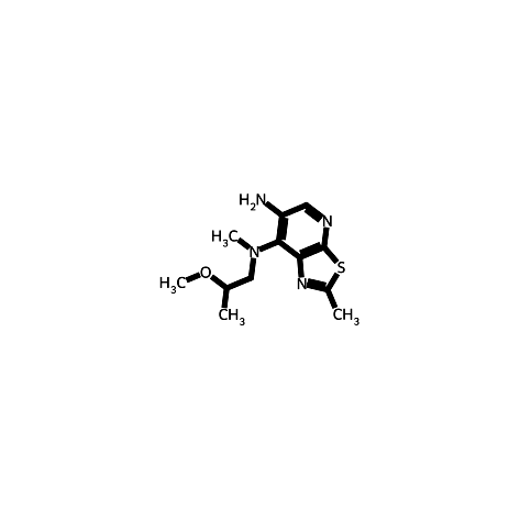 COC(C)CN(C)c1c(N)cnc2sc(C)nc12